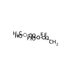 C=CCOc1ccc(-c2ccc(C(=O)Oc3ccc(C4CCC(C(C)O)CC4)c(F)c3F)cc2)c(F)c1F